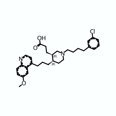 COc1ccc2nccc(CCC[C@@H]3CCN(CCCCc4cccc(Cl)c4)C[C@@H]3CCC(=O)O)c2c1